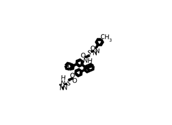 Cc1ccc(-c2nnc(SCC(=O)Nc3ccc(C45CC6CC(CC4C6)C5)cc3C3C4CC5CC(C4)CC3(c3ccc(OC(=O)CSc4nnc[nH]4)cc3)C5)o2)cc1